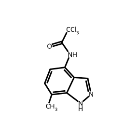 Cc1ccc(NC(=O)C(Cl)(Cl)Cl)c2cn[nH]c12